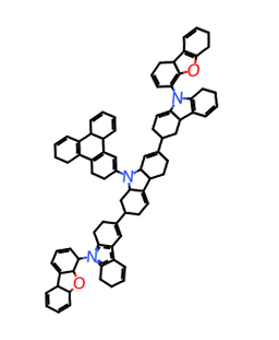 C1=CC2OC3C(=CC=CC3n3c4c(c5c3CCC(C3CC=C6C7CCC(C8CC=C9C(C8)C8=C(CCC=C8)N9C8=C9OC%10=C(C=CCC%10)C9CC=C8)=CC7N(C7=CC8=C(CC7)C7=C(C=CCC7)C7C=CC=CC87)C6C3)=C5)C=CCC4)C2C=C1